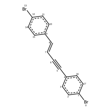 Brc1ccc(C#CC=Cc2ccc(Br)cc2)cc1